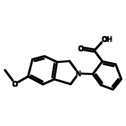 COc1ccc2c(c1)CN(c1ccccc1C(=O)O)C2